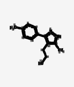 Cc1[c]cc(-c2n[nH]c(C)c2CCO)cc1